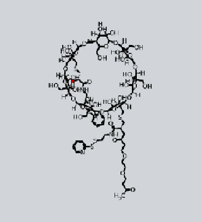 CN[C@H](CSCC1O[C@H]2O[C@@H]3C(CO)OC(O[C@@H]4C(CO)OC(O[C@@H]5C(CO)O[C@H](O[C@@H]6C(CSC[C@@H](CC(=O)CCOCCOCCC(C)=O)C(=O)NCCSSc7ccccn7)O[C@H](O[C@@H]7C(CO)O[C@@H](O[C@@H]8C(CO)O[C@@H](O[C@H]1[C@H](O)C2O)C(O)[C@H]8O)C(O)[C@H]7O)C(O)[C@H]6O)C(O)[C@H]5O)[C@@H](O)[C@H]4O)[C@@H](O)[C@H]3O)C(=O)NCCSSc1ccccn1